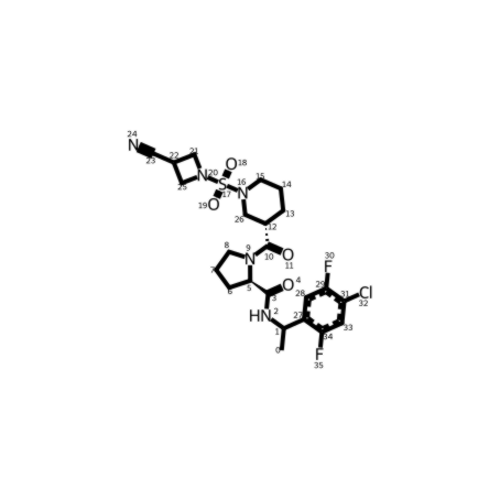 CC(NC(=O)[C@H]1CCCN1C(=O)[C@H]1CCCN(S(=O)(=O)N2CC(C#N)C2)C1)c1cc(F)c(Cl)cc1F